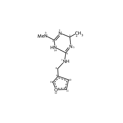 CNC1=NC(C)N=C(NCc2ccoc2)N1